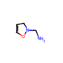 NCN1CC=CO1